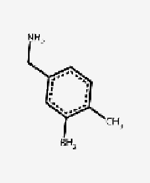 Bc1cc(CN)ccc1C